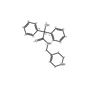 O=C(NCC1=CCNCC1)C(O)(c1ccccc1)c1ccccc1